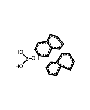 OB(O)O.c1ccc2ccccc2c1.c1ccc2ccccc2c1